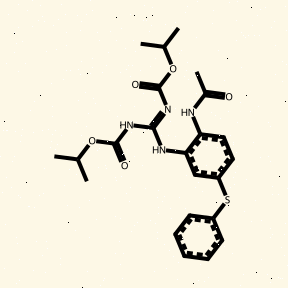 CC(=O)Nc1ccc(Sc2ccccc2)cc1NC(=NC(=O)OC(C)C)NC(=O)OC(C)C